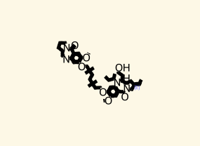 C/C=C1\C[C@H]2C(CCO)N(C(C)CC)c3cc(OCCC(C)(C)CCC(C)(C)COc4cc5c(cc4OC)C(=O)N4CCCC4C=N5)c(OC)cc3C(=O)N2C1